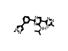 Cc1nnc(-c2cnc(-c3cccc(-c4cnn(C)c4)c3)nc2NC(C)C)s1